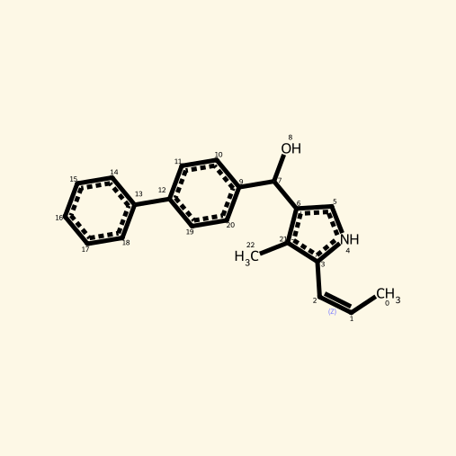 C/C=C\c1[nH]cc(C(O)c2ccc(-c3ccccc3)cc2)c1C